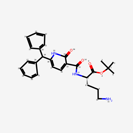 CC(C)(C)OC(=O)[C@H](CCCN)NC(=O)c1ccc(C(c2ccccc2)c2ccccc2)[nH]c1=O